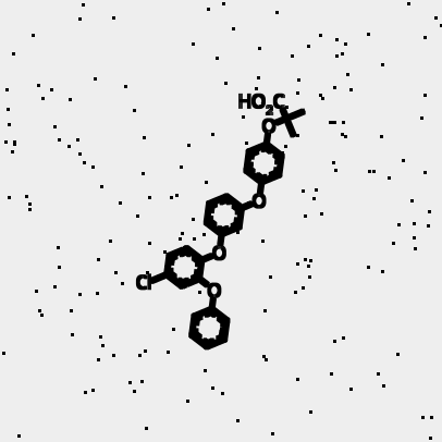 CC(C)(Oc1ccc(Oc2cccc(Oc3ccc(Cl)cc3Oc3ccccc3)c2)cc1)C(=O)O